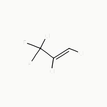 FC(F)(Cl)/C(Cl)=C/Cl